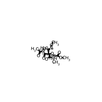 CNC(=O)C(ONC(=O)OC)(C(=O)N(C)C(C)=O)/C(C)=N/OC